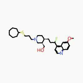 COc1ccc2nccc(C(F)CC[C@@H]3CCN(CCCSC4CCCCCC4)C[C@@H]3CO)c2c1